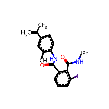 C=C(c1ccc(NC(=O)c2cccc(I)c2C(=O)NC(C)C)c(C)c1)C(F)(F)F